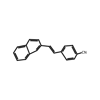 N#Cc1ccc(C=Cc2ccc3ccccc3c2)cc1